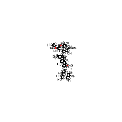 CCCCCCCCCCCC(=O)N[C@H]1C(CO)O[C@@H](OC(=O)[C@]23CCC(C)(C)CC2C2=CCC4C5(C)CC[C@H](O[C@@H]6OC[C@@H](O)[C@H](O[C@@H]7OC[C@@H](O)[C@H](O)C7O)C6O[C@@H]6OC(CO)[C@H](O)[C@H](O)C6O)[C@](C)(C=O)[C@@H]5CCC4(C)[C@]2(C)CC3O)[C@H](O[C@@H]2OC(C)[C@H](O[C@@H]3OC[C@@H](O)C(O)[C@H]3O)C(O)[C@@H]2O)C1O[C@@H]1OC(C)[C@H](O)[C@H](O)C1O